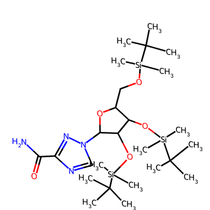 CC(C)(C)[Si](C)(C)OCC1OC(n2cnc(C(N)=O)n2)C(O[Si](C)(C)C(C)(C)C)C1O[Si](C)(C)C(C)(C)C